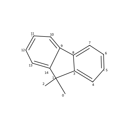 CC1(C)c2c[c]ccc2-c2c[c]ccc21